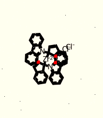 C1=C[C]([Zr+2][C]2(n3c4ccccc4c4ccccc43)C=Cc3ccccc32)(n2c3ccccc3c3ccccc32)c2ccccc21.[Cl-].[Cl-]